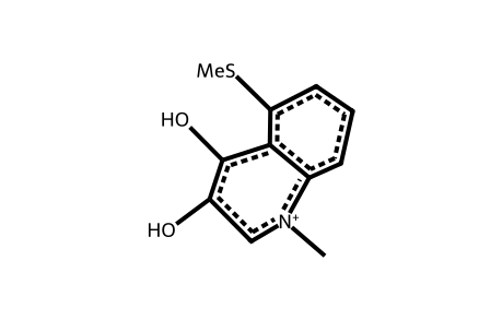 CSc1cccc2c1c(O)c(O)c[n+]2C